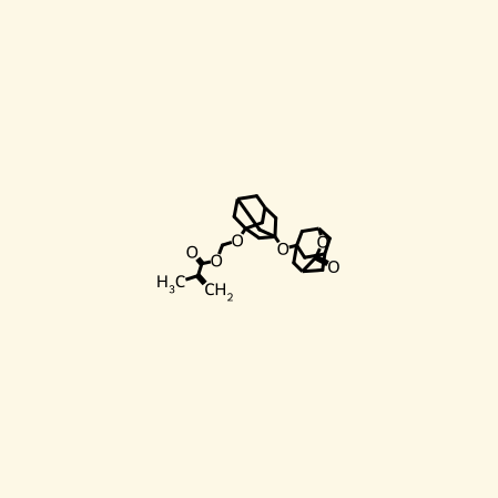 C=C(C)C(=O)OCOC12CC3CC(C1)CC(OC14CC5CC(C1)OC(=O)C(C5)C4)(C3)C2